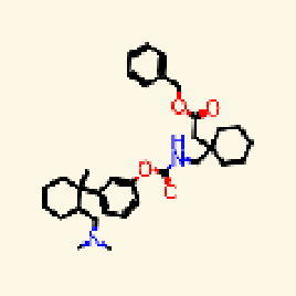 CN(C)CC1CCCCC1(C)c1cccc(OC(=O)NCC2(CC(=O)OCc3ccccc3)CCCCC2)c1